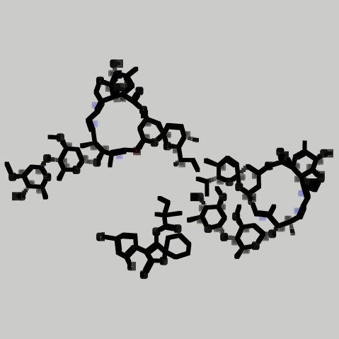 CCC(C)(C)C(=O)OC1=C(c2ccc(Cl)cc2Cl)C(=O)OC12CCCCC2.CC[C@H](C)[C@H]1O[C@]2(C=C[C@@H]1C)C[C@@H]1C[C@@H](C/C=C(\C)[C@@H](O[C@H]3C[C@H](OC)[C@@H](O[C@H]4C[C@H](OC)[C@@H](O)[C@H](C)O4)[C@H](C)O3)[C@@H](C)/C=C/C=C3\CO[C@@H]4[C@H](O)C(C)=C[C@@H](C(=O)O1)[C@]34O)O2.CO[C@H]1C[C@H](O[C@H]2[C@H](C)O[C@@H](O[C@@H]3/C(C)=C/C[C@@H]4C[C@@H](C[C@]5(C=C[C@H](C)[C@@H](C(C)C)O5)O4)OC(=O)[C@@H]4C=C(C)[C@@H](O)[C@H]5OC/C(=C\C=C\[C@@H]3C)[C@]54O)C[C@@H]2OC)O[C@@H](C)[C@@H]1O